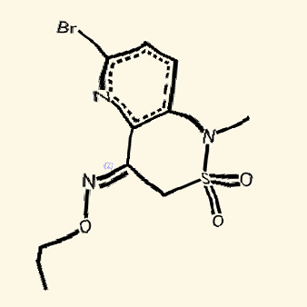 CCO/N=C1\CS(=O)(=O)N(C)c2ccc(Br)nc21